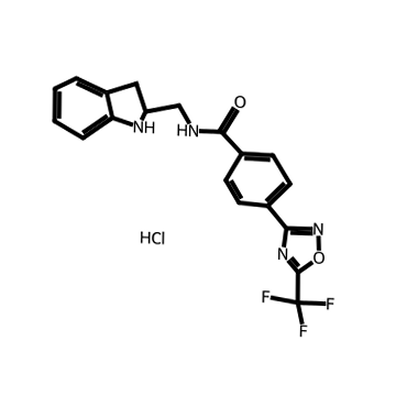 Cl.O=C(NCC1Cc2ccccc2N1)c1ccc(-c2noc(C(F)(F)F)n2)cc1